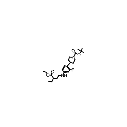 CCOC(=O)C(CC)CCNc1ccc(C2CCN(C(=O)OC(C)(C)C)CC2)c(F)c1